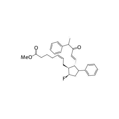 COC(=O)CCC/C=C\C[C@@H]1[C@H](F)CC(c2ccccc2)[C@H]1/C=C/C(=O)C(C)c1ccccc1